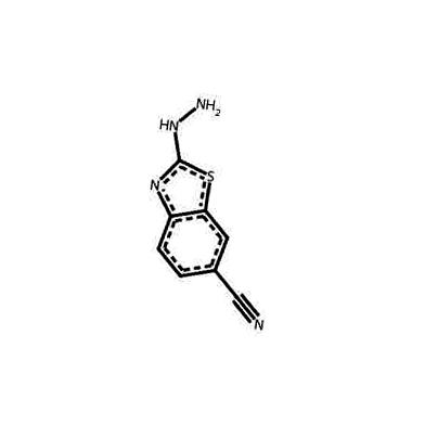 N#Cc1ccc2nc(NN)sc2c1